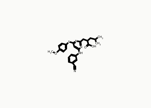 COc1ccc(Sc2cc(Nc3cccc(C#N)c3)nc(CC(CC(C)C)C(=O)O)n2)cc1